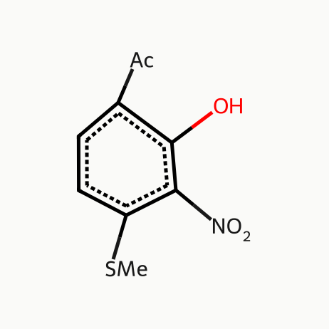 CSc1ccc(C(C)=O)c(O)c1[N+](=O)[O-]